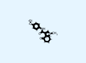 CCOc1ccc(NC(=O)c2cn(C)c3c2C(=O)CCC3)cc1